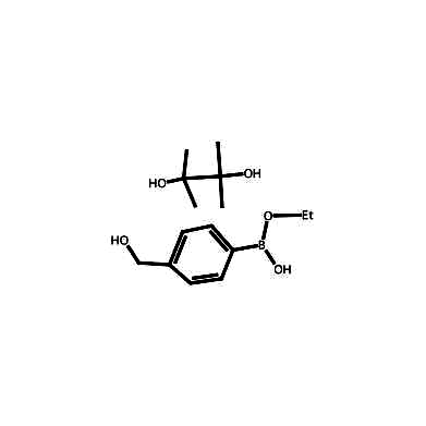 CC(C)(O)C(C)(C)O.CCOB(O)c1ccc(CO)cc1